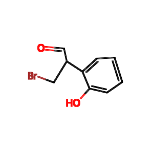 O=CC(CBr)c1ccccc1O